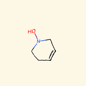 ON1CC=CCC1